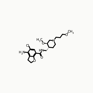 COCCCN1CC[C@H](CNC(=O)c2cc(Cl)c(N)c3c2OCC3)[C@@H](OC)C1